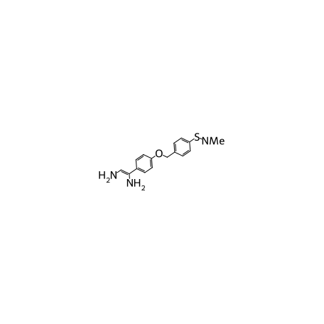 CNSc1ccc(COc2ccc(/C(N)=C/N)cc2)cc1